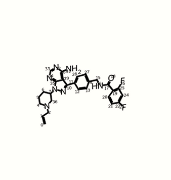 C=CCN1CCCC(n2nc(-c3ccc(CNC(=O)c4ccc(F)cc4F)cc3)c3c(N)ncnc32)C1